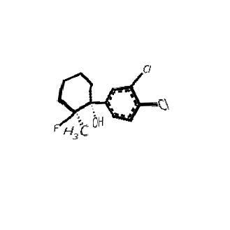 C[C@]1(F)CCCC[C@@]1(O)c1ccc(Cl)c(Cl)c1